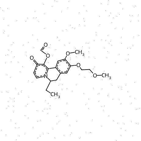 CCC1Cc2cc(OCCOC)c(OC)cc2-c2c(OC=O)c(=O)ccn21